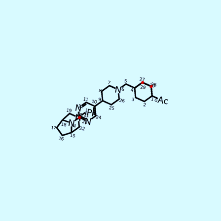 CC(=O)C12CCC(CN3CCC(c4cnc(N5C6CCC5CN(C(C)C)C6)nc4)CC3)(CC1)CC2